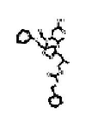 CC(=O)[C@H](CC(=O)O)N(C=O)C1(COc2ccccc2)CC(CC(C)CNC(=O)OCc2ccccc2)=NO1